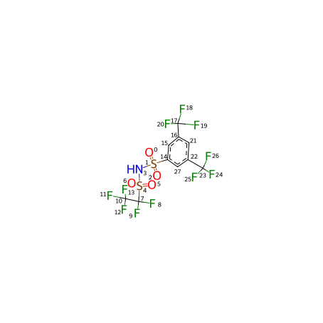 O=S(=O)(NS(=O)(=O)C(F)(F)C(F)(F)F)c1cc(C(F)(F)F)cc(C(F)(F)F)c1